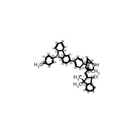 C=C(/C=C1\C(CC)c2ccccc2C1(C)C)N(C1C=CC(c2ccc3c(c2)C2C=CC=CC2N3c2ccc(C)cc2)=CC1)[C@@]12C=C1C=CCN2